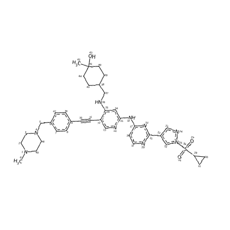 CN1CCN(Cc2ccc(C#Cc3cnc(Nc4ccnc(-c5cnn(S(=O)(=O)C6CC6)c5)n4)cc3NCC3CCC(C)(O)CC3)cc2)CC1